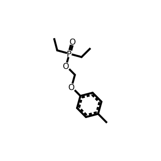 CCP(=O)(CC)OCOc1ccc(C)cc1